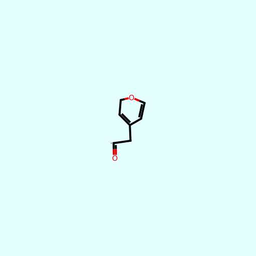 O=[C]CC1=CCOC=C1